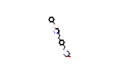 CC1(O)CCN(CCc2ccc(CCc3ccc(OCc4ccccc4)nn3)cc2)CC1